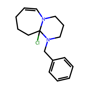 ClC12CCCC=CN1CCCN2Cc1ccccc1